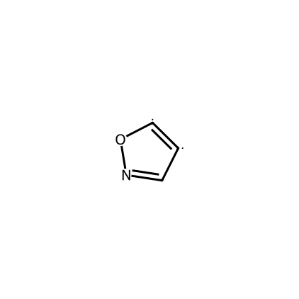 [c]1[c]onc1